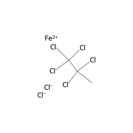 CC(Cl)(Cl)C(Cl)(Cl)Cl.[Cl-].[Cl-].[Fe+2]